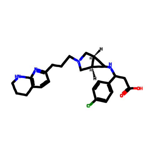 O=C(O)CC(NC1[C@H]2CN(CCCc3ccc4c(n3)NCCC4)C[C@@H]12)c1ccc(Cl)cc1